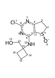 [O-][S@+]1CCc2nc(Cl)nc(NC3(CO)CCC3)c21